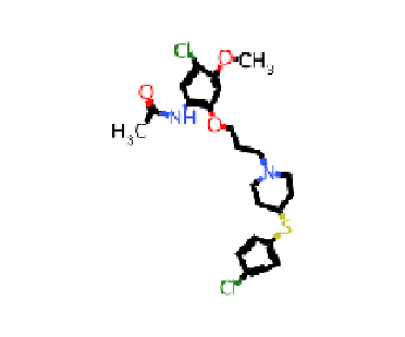 COc1cc(OCCCN2CCC(Sc3ccc(Cl)cc3)CC2)c(NC(C)=O)cc1Cl